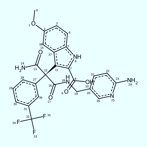 COc1ccc2[nH]c(C(=O)O)c([C@@](C(N)=O)(C(=O)NCc3ccc(N)nc3)c3cccc(C(F)(F)F)c3)c2c1